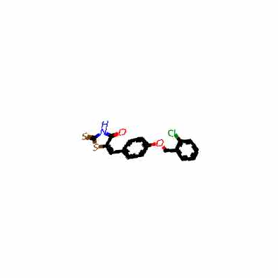 O=C1NC(=S)SC1=Cc1ccc(OCc2ccccc2Cl)cc1